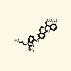 CCOC(=O)CC(c1ccccc1)N1CCc2cc(Oc3cccc4c3nc(N)n4CCCO)ccc2C1=O